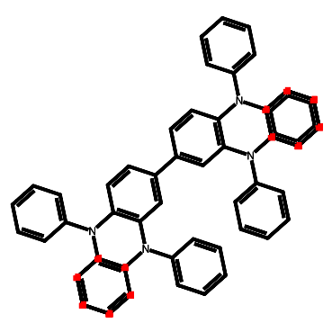 c1ccc(N(c2ccccc2)c2ccc(-c3ccc(N(c4ccccc4)c4ccccc4)c(N(c4ccccc4)c4ccccc4)c3)cc2N(c2ccccc2)c2ccccc2)cc1